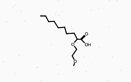 CCCCCCCCC(OCCOC)C(=O)O